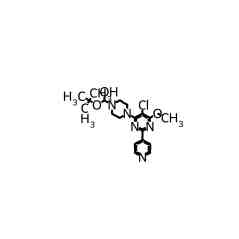 COc1nc(-c2ccncc2)nc(N2CCN(C(O)OC(C)(C)C)CC2)c1Cl